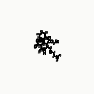 CCOC(=O)C1=C(COCCN(C)C)NC(C)=C(C(=O)OC)C1c1ccccc1Cl